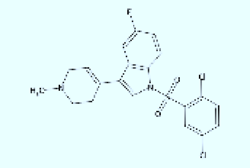 CN1CC=C(c2cn(S(=O)(=O)c3cc(Cl)ccc3Cl)c3ccc(F)cc23)CC1